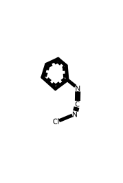 ClN=C=Nc1ccccc1